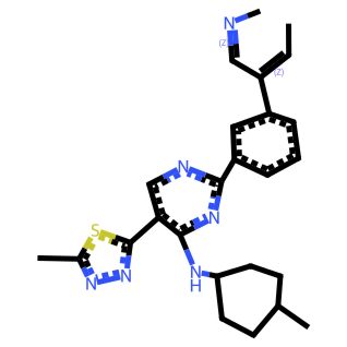 C/C=C(\C=N/C)c1cccc(-c2ncc(-c3nnc(C)s3)c(NC3CCC(C)CC3)n2)c1